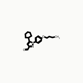 CCCCOc1ccc(-n2nc(C=O)cc2C2CCCCC2)cc1